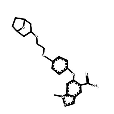 Cn1ncc2cc(C(N)=O)c(Oc3ccc(OCCOC4CC5CCC(C4)O5)cc3)cc21